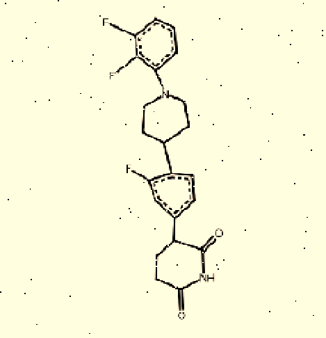 O=C1CCC(c2ccc(C3CCN(c4cccc(F)c4F)CC3)c(F)c2)C(=O)N1